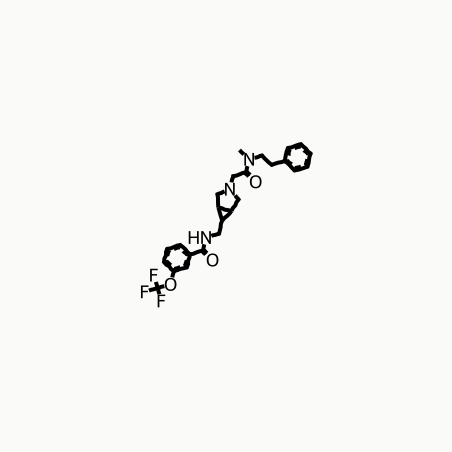 CN(CCc1ccccc1)C(=O)CN1CC2C(CNC(=O)c3cccc(OC(F)(F)F)c3)C2C1